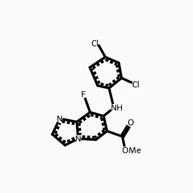 COC(=O)c1cn2ccnc2c(F)c1Nc1ccc(Cl)cc1Cl